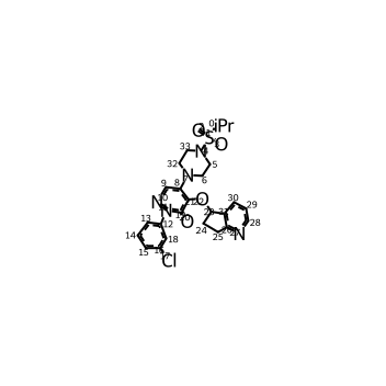 CC(C)S(=O)(=O)N1CCN(c2cnn(-c3cccc(Cl)c3)c(=O)c2OC2CCc3ncccc32)CC1